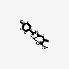 C=C(Cc1nc(-c2ccc(C)cc2)no1)C(=O)O